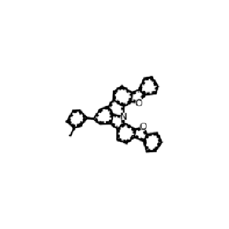 Cc1cccc(-c2cc3c4ccc5c6ccccc6oc5c4n4c3c(c2)c2ccc3c5ccccc5oc3c24)c1